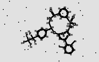 Cc1cccc(C)c1-c1cc2nc(n1)NS(=O)(=O)c1cccc(c1)C(=O)NCC(c1ccc(C(F)(F)C(F)(F)F)cc1)O2